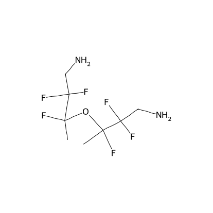 CC(F)(OC(C)(F)C(F)(F)CN)C(F)(F)CN